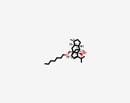 CCCCCCCOC[C@]12C[C@H]3[C@@H](C)CC[C@@H]3[C@]3(C=O)C[C@H]1C=C(C(C)C)[C@]23C(=O)O